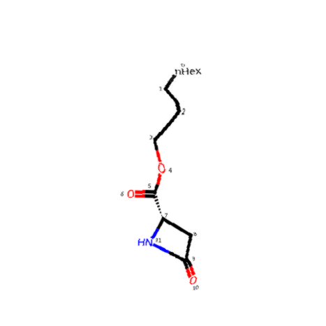 CCCCCCCCCOC(=O)[C@@H]1CC(=O)N1